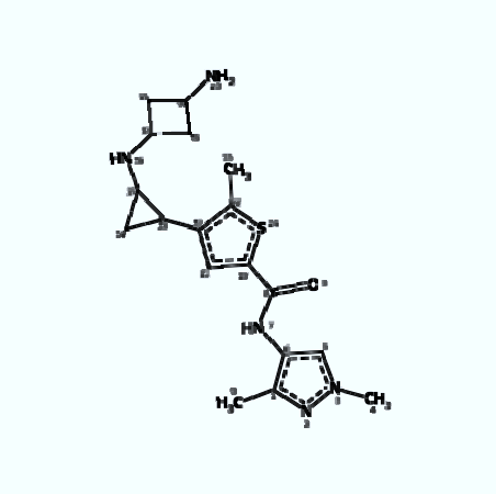 Cc1nn(C)cc1NC(=O)c1cc(C2CC2NC2CC(N)C2)c(C)s1